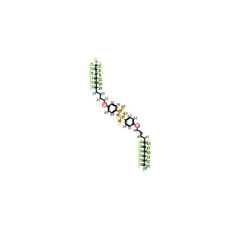 FC(F)(F)C(F)(F)C(F)(F)C(F)(F)C(F)(F)C(F)(F)CCCCOc1ccc(P2(=S)SP(=S)(c3ccc(OCCCCC(F)(F)C(F)(F)C(F)(F)C(F)(F)C(F)(F)C(F)(F)F)cc3)S2)cc1